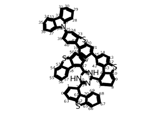 C1=CC(C2=NC(c3cccc4sc5ccc(-c6ccc7c(c6)sc6cc(-n8c9ccccc9c9ccccc98)ccc67)cc5c34)NC(c3cccc4sc5ccccc5c34)N2)C2C(=C1)Sc1ccccc12